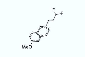 COc1ccc2cc(C=CC(F)F)ccc2c1